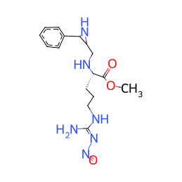 COC(=O)[C@H](CCCN/C(N)=N/N=O)NCC1NC1c1ccccc1